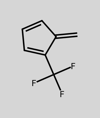 C=C1C=CC=C1C(F)(F)F